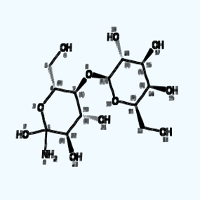 NC1(O)O[C@H](CO)[C@@H](O[C@@H]2O[C@H](CO)[C@H](O)[C@H](O)[C@H]2O)[C@H](O)[C@H]1O